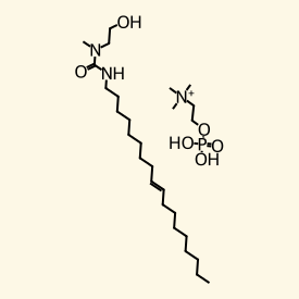 CCCCCCCCC=CCCCCCCCCNC(=O)N(C)CCO.C[N+](C)(C)CCOP(=O)(O)O